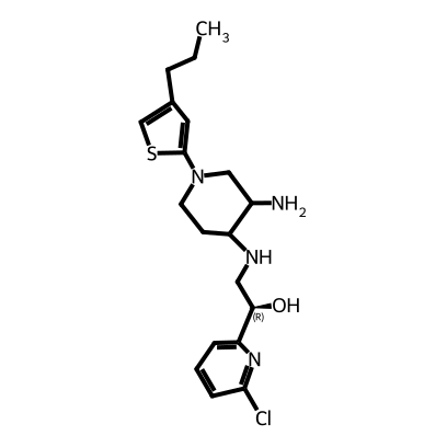 CCCc1csc(N2CCC(NC[C@@H](O)c3cccc(Cl)n3)C(N)C2)c1